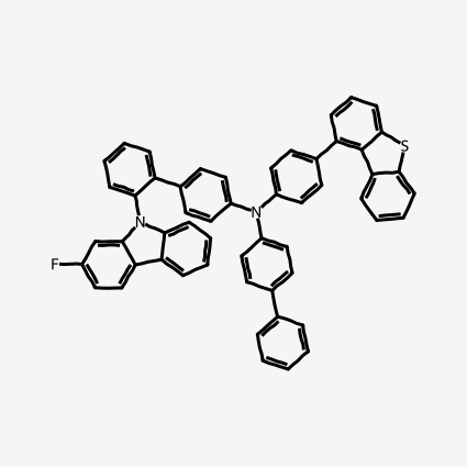 Fc1ccc2c3ccccc3n(-c3ccccc3-c3ccc(N(c4ccc(-c5ccccc5)cc4)c4ccc(-c5cccc6sc7ccccc7c56)cc4)cc3)c2c1